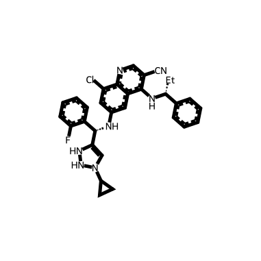 CC[C@@H](Nc1c(C#N)cnc2c(Cl)cc(N[C@H](C3=CN(C4CC4)NN3)c3ccccc3F)cc12)c1ccccc1